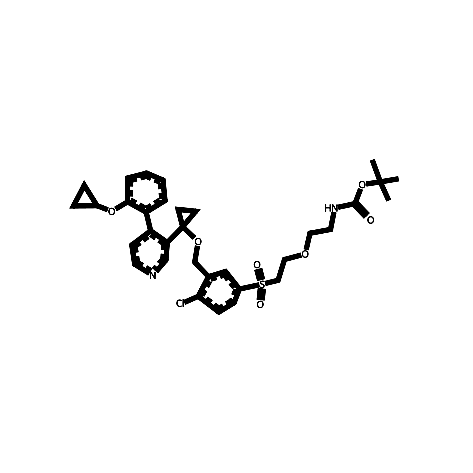 CC(C)(C)OC(=O)NCCOCCS(=O)(=O)c1ccc(Cl)c(COC2(c3cnccc3-c3ccccc3OC3CC3)CC2)c1